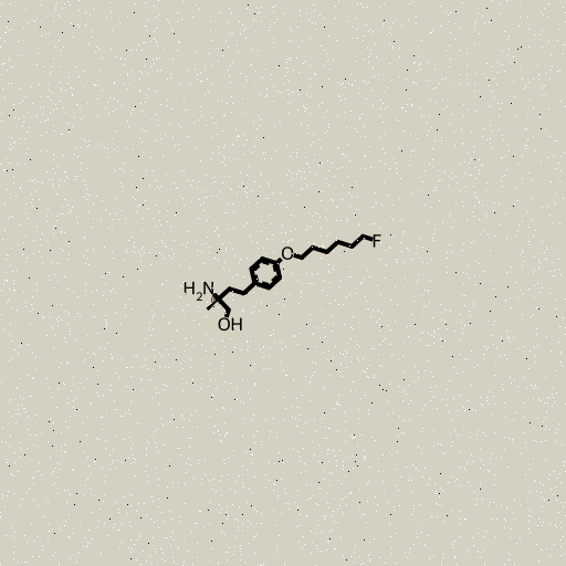 C[C@](N)(CO)CCc1ccc(OCCCCCCF)cc1